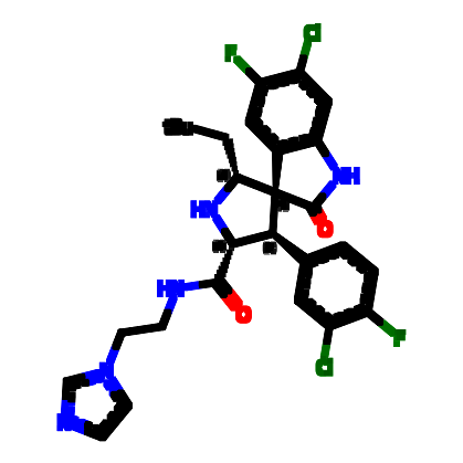 CC(C)(C)C[C@H]1N[C@@H](C(=O)NCCn2ccnc2)[C@H](c2ccc(F)c(Cl)c2)[C@@]12C(=O)Nc1cc(Cl)c(F)cc12